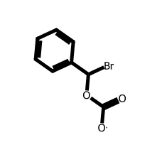 [O]C(=O)OC(Br)c1ccccc1